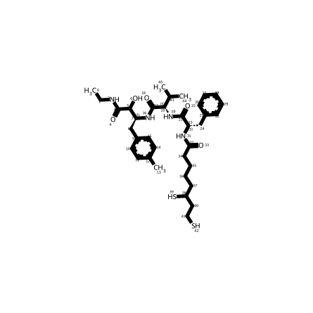 CCNC(=O)C(O)[C@H](Cc1ccc(C)cc1)NC(=O)[C@@H](NC(=O)[C@H](Cc1ccccc1)NC(=O)CCCCC(S)CCS)C(C)C